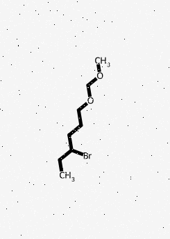 CCC(Br)CCCOCOC